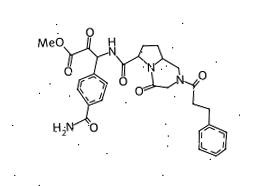 COC(=O)C(=O)C(NC(=O)C1CCC2CN(C(=O)CCc3ccccc3)CC(=O)N21)c1ccc(C(N)=O)cc1